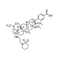 CC(C)[C@@H]1CC[C@]2(NCCN3CCCCS3(=O)=O)CC[C@]3(C)[C@H](CC[C@@H]4[C@@]5(C)CC=C(c6ccc(C(=O)O)cc6)C(C)(C)[C@@H]5CC[C@]43C)[C@@H]12